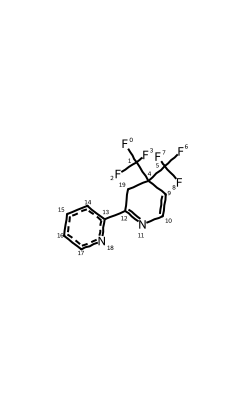 FC(F)(F)C1(C(F)(F)F)C=CN=C(c2ccccn2)C1